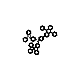 c1ccc(-c2c3ccccc3c(-c3ccccc3)c3cc(-c4ccc(N(c5ccc(N(c6ccccc6)c6ccccc6)cc5)c5ccc6c(c5)C(c5ccccc5)(c5ccccc5)c5ccccc5-6)cc4)ccc23)cc1